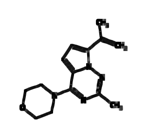 C=C(C)c1ccc2c(N3CCOCC3)nc(C)nn12